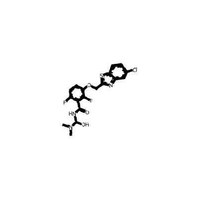 CN(C)C(O)NC(=O)c1c(F)ccc(OCc2nc3cc(Cl)ccc3s2)c1F